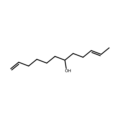 C=CCCCCC(O)CCC=CC